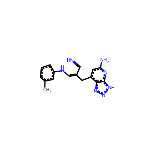 Cc1cccc(N/C=C(\C=N)Cc2cc(N)nc3[nH]nnc23)c1